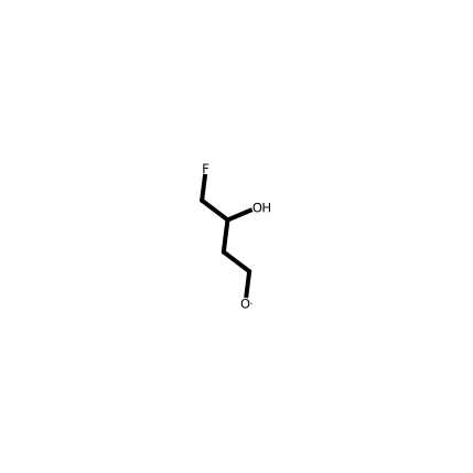 [O]CCC(O)CF